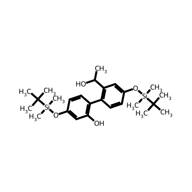 CC(O)c1cc(O[Si](C)(C)C(C)(C)C)ccc1-c1ccc(O[Si](C)(C)C(C)(C)C)cc1O